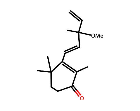 C=CC(C)(C=CC1=C(C)C(=O)CCC1(C)C)OC